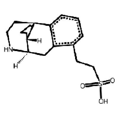 O=S(=O)(O)CCc1cccc2c1C[C@H]1NCC[C@@]23CCCC[C@@H]13